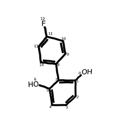 Oc1cccc(O)c1-c1ccc(F)cc1